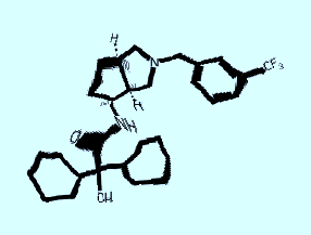 O=C(N[C@H]1CC[C@H]2CN(Cc3cccc(C(F)(F)F)c3)C[C@H]21)C(O)(C1CCCCC1)C1CCCCC1